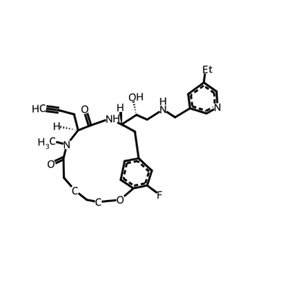 C#CC[C@H]1C(=O)N[C@H]([C@H](O)CNCc2cncc(CC)c2)Cc2ccc(c(F)c2)OCCCCC(=O)N1C